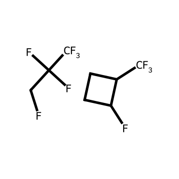 FC1CCC1C(F)(F)F.FCC(F)(F)C(F)(F)F